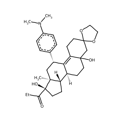 CCC(=O)[C@@]1(O)CC[C@H]2[C@@H]3CCC4(O)CC5(CCC4=C3[C@@H](c3ccc(N(C)C)cc3)C[C@@]21C)OCCO5